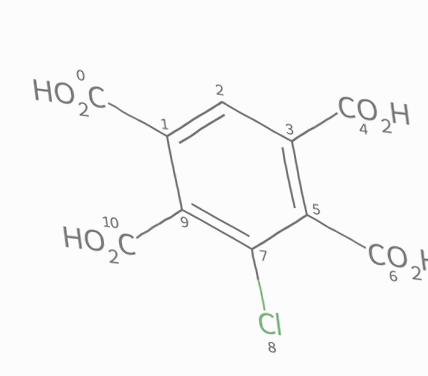 O=C(O)c1cc(C(=O)O)c(C(=O)O)c(Cl)c1C(=O)O